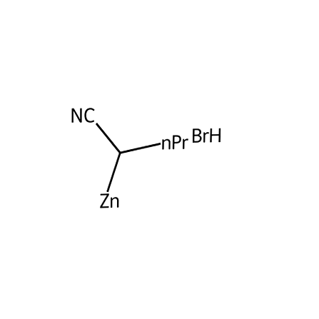 Br.CCC[CH]([Zn])C#N